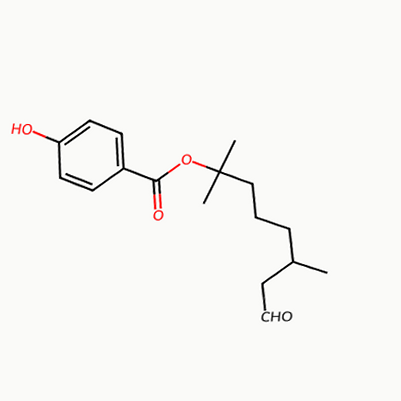 CC(CC=O)CCCC(C)(C)OC(=O)c1ccc(O)cc1